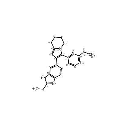 CCc1nc2ccc(-c3nc4n(c3-c3ccnc(NC)n3)CCCC4)cc2[nH]1